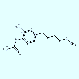 CCCCCCc1ccc(OC(N)=O)c(C)c1